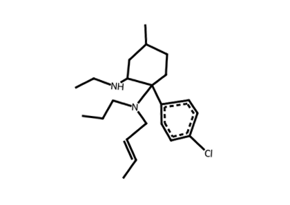 CC=CCN(CCC)C1(c2ccc(Cl)cc2)CCC(C)CC1NCC